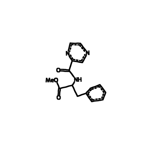 COC(=O)C(Cc1ccccc1)NC(=O)c1cnccn1